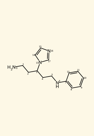 NCCC(CCNc1ccccc1)n1ccnc1